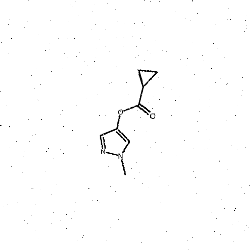 Cn1cc(OC(=O)C2CC2)cn1